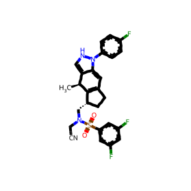 C[C@H]1C2=CNN(c3ccc(F)cc3)C2=CC2=C1[C@@H](CN(CC#N)S(=O)(=O)c1cc(F)cc(F)c1)CC2